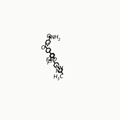 CCc1cnc(N2CCC(COc3ccc(C4=CCC(C(=O)N5CCC(C(N)=O)CC5)CC4)cc3C(F)(F)F)CC2)nc1